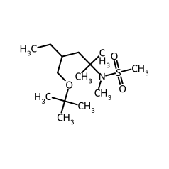 CCC(COC(C)(C)C)CC(C)(C)N(C)S(C)(=O)=O